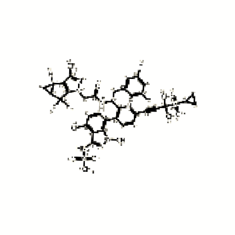 Cn1nc(NS(C)(=O)=O)c2c(Cl)ccc(-c3ccc(C#CC(C)(C)S(=O)(=O)C4CC4)nc3[C@H](Cc3cc(F)cc(F)c3)NC(=O)Cn3nc(C(F)(F)F)c4c3C(F)(F)C3C[C@H]43)c21